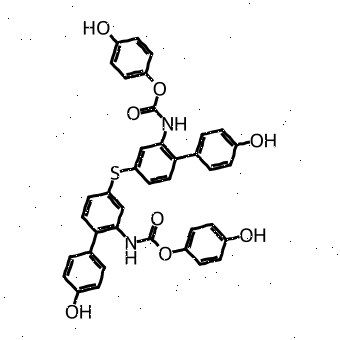 O=C(Nc1cc(Sc2ccc(-c3ccc(O)cc3)c(NC(=O)Oc3ccc(O)cc3)c2)ccc1-c1ccc(O)cc1)Oc1ccc(O)cc1